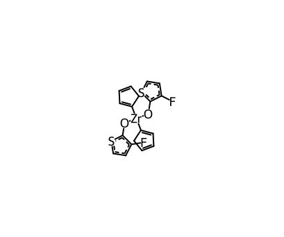 Fc1ccsc1[O][Zr]([O]c1sccc1F)([C]1=CC=CC1)[C]1=CC=CC1